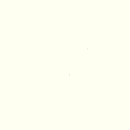 CCCCCCCCCCC(C(=O)C(CCCCCCCCCC)c1ccccc1)c1ccccc1